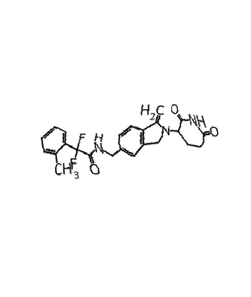 C=C1c2ccc(CNC(=O)C(F)(F)c3ccccc3C)cc2CN1C1CCC(=O)NC1=O